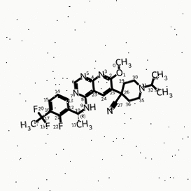 COc1nc2ncnc(N[C@H](C)c3cccc(C(C)(F)F)c3F)c2cc1C1(C#N)CCN(C(C)C)CC1